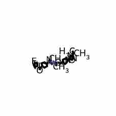 C=N/C(=C\C=C(/C)OCC1CCN(c2nc(C(C)C)no2)CC1)C1=CCC(C(=O)N2CC[C@H](F)C2)CC1